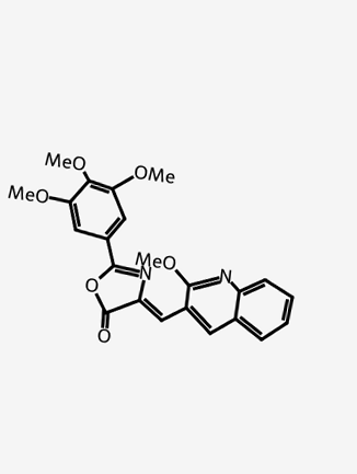 COc1cc(C2=N/C(=C\c3cc4ccccc4nc3OC)C(=O)O2)cc(OC)c1OC